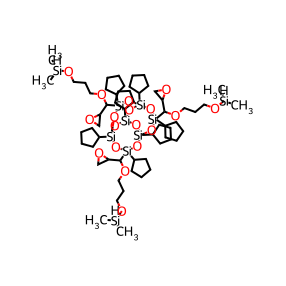 C[SiH](C)OCCCOC(C1CO1)[Si]1(C2CCCC2)O[Si]2(C3CCCC3)O[Si]3(C4CCCC4)O[Si](C4CCCC4)(O1)O[Si](C1CCCC1)(C(OCCCO[SiH](C)C)C1CO1)O[Si](C1CCCC1)(O3)O[Si](C1CCCC1)(C(OCCCO[SiH](C)C)C1CO1)O2